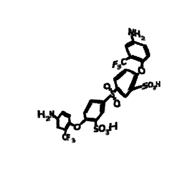 Nc1ccc(Oc2ccc(S(=O)(=O)c3ccc(Oc4ccc(N)cc4C(F)(F)F)c(S(=O)(=O)O)c3)cc2S(=O)(=O)O)c(C(F)(F)F)c1